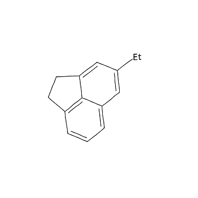 CCc1cc2c3c(cccc3c1)CC2